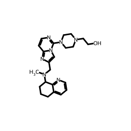 CN(Cc1cn2c(N3CCN(CCO)CC3)nccc2n1)C1CCCc2cccnc21